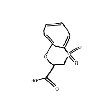 O=C(O)C1CS(=O)(=O)c2ccccc2O1